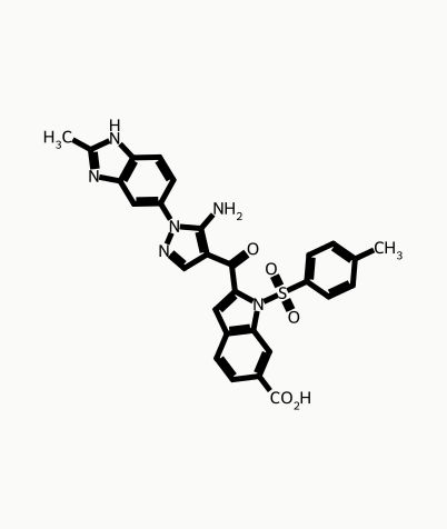 Cc1ccc(S(=O)(=O)n2c(C(=O)c3cnn(-c4ccc5[nH]c(C)nc5c4)c3N)cc3ccc(C(=O)O)cc32)cc1